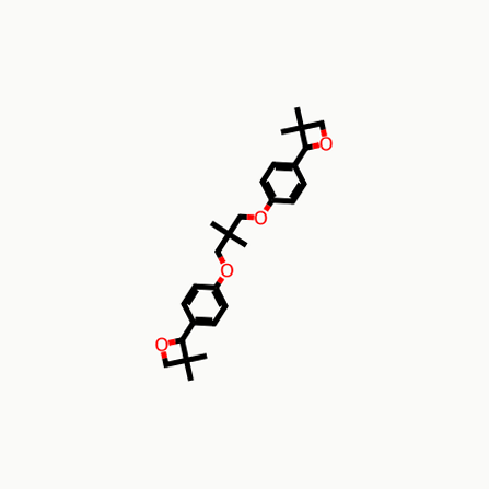 CC(C)(COc1ccc(C2OCC2(C)C)cc1)COc1ccc(C2OCC2(C)C)cc1